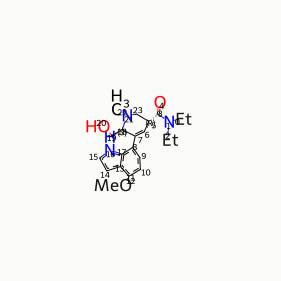 CCN(CC)C(=O)[C@@H]1C=C(c2ccc(OC)c3cc[nH]c23)[C@@H](CO)N(C)C1